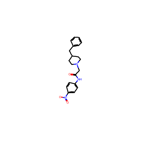 O=C(CN1CCC(Cc2ccccc2)CC1)Nc1ccc([N+](=O)[O-])cc1